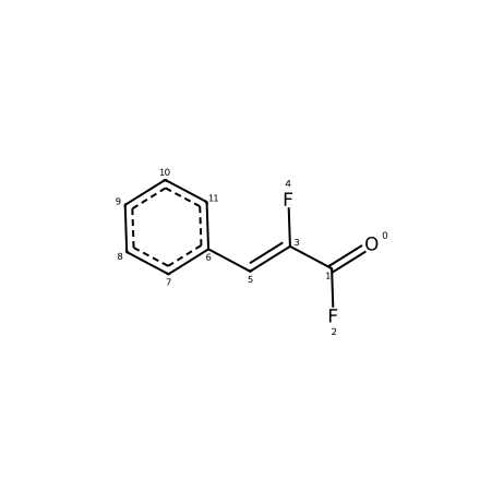 O=C(F)/C(F)=C/c1ccccc1